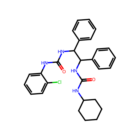 O=C(Nc1ccccc1Cl)NC(c1ccccc1)C(NC(=O)NC1CCCCC1)c1ccccc1